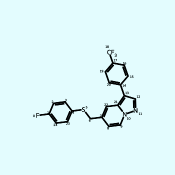 Fc1ccc(SCc2ccn3ncc(-c4ccc(C(F)(F)F)cc4)c3c2)cc1